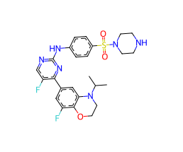 CC(C)N1CCOc2c(F)cc(-c3nc(Nc4ccc(S(=O)(=O)N5CCNCC5)cc4)ncc3F)cc21